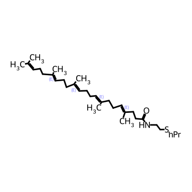 CCCSCCNC(=O)CC/C(C)=C/CC/C(C)=C/CC/C=C(\C)CC/C=C(\C)CCC=C(C)C